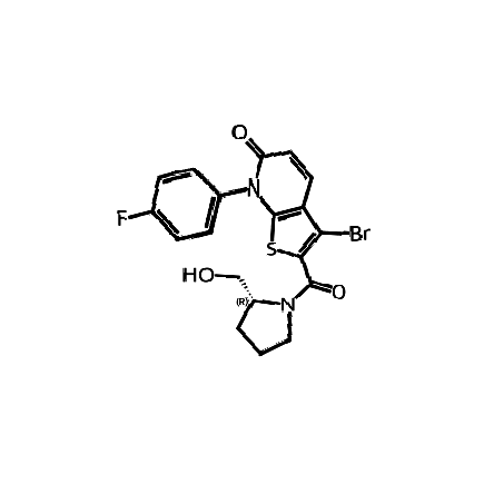 O=C(c1sc2c(ccc(=O)n2-c2ccc(F)cc2)c1Br)N1CCC[C@@H]1CO